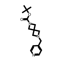 CC(C)(C)OC(=O)N1CC2(CN(Cc3ccncc3)C2)C1